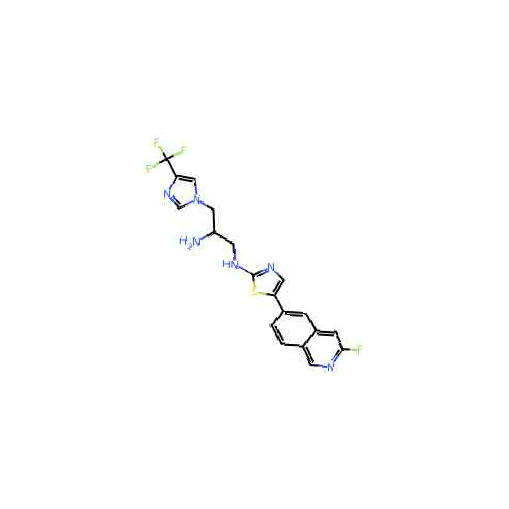 NC(CNc1ncc(-c2ccc3cnc(F)cc3c2)s1)Cn1cnc(C(F)(F)F)c1